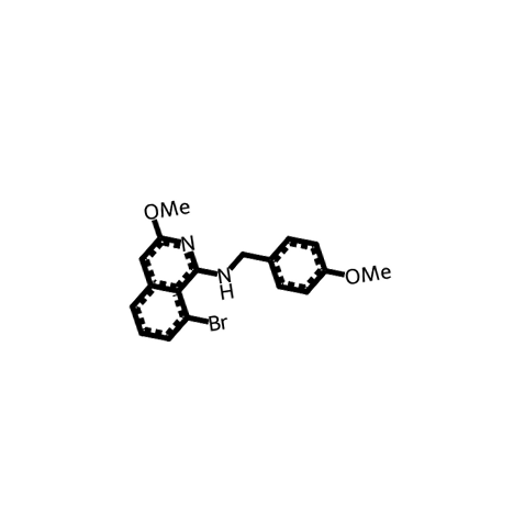 COc1ccc(CNc2nc(OC)cc3cccc(Br)c23)cc1